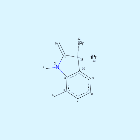 C=C1N(C)c2c(C)cccc2C1(C(C)C)C(C)C